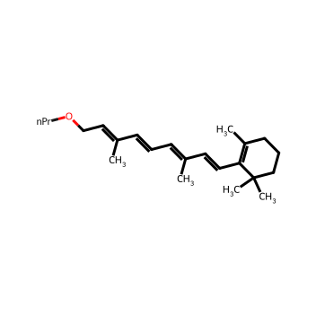 CCCOC/C=C(C)/C=C/C=C(C)/C=C/C1=C(C)CCCC1(C)C